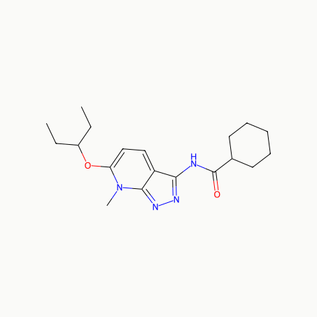 CCC(CC)Oc1ccc2c(NC(=O)C3CCCCC3)nnc-2n1C